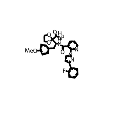 COc1ccc(CC(NC(=O)c2cccnc2-n2ccc(-c3ccccc3F)n2)C2(C(N)=O)OCCO2)cc1